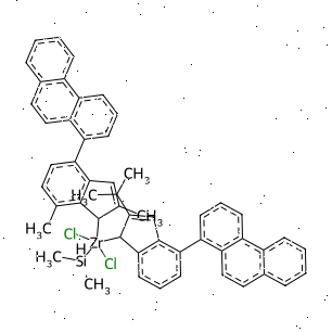 CC1=Cc2c(-c3cccc4c3ccc3ccccc34)ccc(C)c2[CH]1[Zr]([Cl])([Cl])([CH]1C(C(C)C)=Cc2c(-c3cccc4c3ccc3ccccc34)cccc21)[SiH](C)C